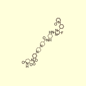 O=C1CCC(n2c(=O)oc3cc(N4CCC(N5CCC(C(=O)N[C@H]6CC[C@H](Nc7ncc(F)c(-c8cccc(-n9ccccc9=O)c8)n7)CC6)CC5)CC4)ccc32)C(=O)N1